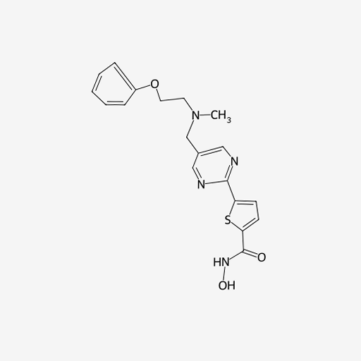 CN(CCOc1ccccc1)Cc1cnc(-c2ccc(C(=O)NO)s2)nc1